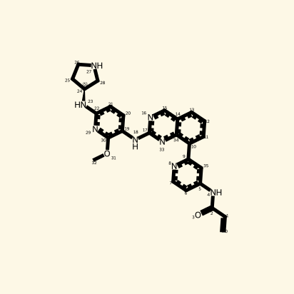 C=CC(=O)Nc1ccnc(-c2cccc3cnc(Nc4ccc(N[C@H]5CCNC5)nc4OC)nc23)c1